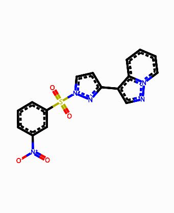 O=[N+]([O-])c1cccc(S(=O)(=O)n2ccc(-c3cnn4ccccc34)n2)c1